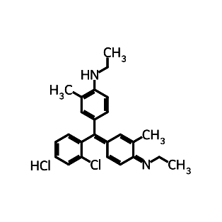 CC/N=C1C=C/C(=C(/c2ccc(NCC)c(C)c2)c2ccccc2Cl)C=C/1C.Cl